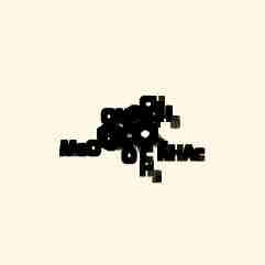 COc1cc(OC)cc(C(=O)[C@H]2[C@H](C)[C@@H](CNC(C)=O)C[C@H]3C(C)(C)CCC[C@]23C)c1